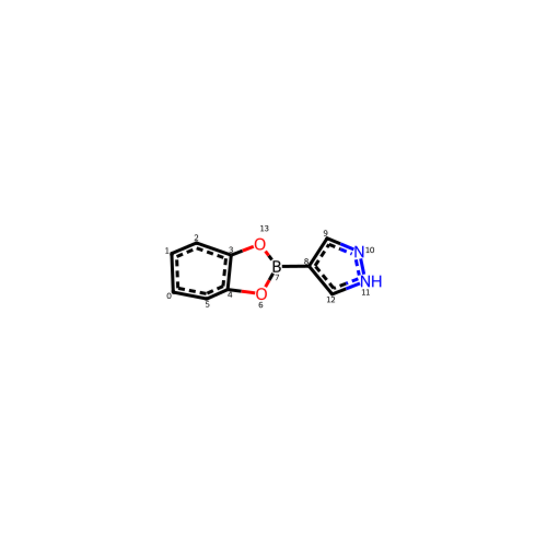 c1ccc2c(c1)OB(c1cn[nH]c1)O2